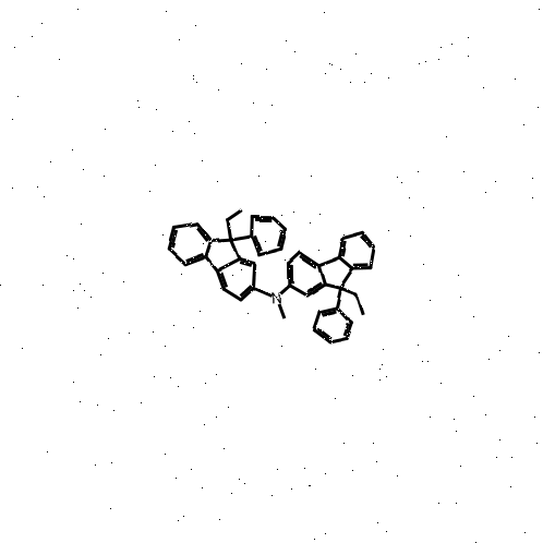 CCC1(c2ccccc2)c2ccccc2-c2ccc(N(C)c3ccc4c(c3)C(CC)(c3ccccc3)c3ccccc3-4)cc21